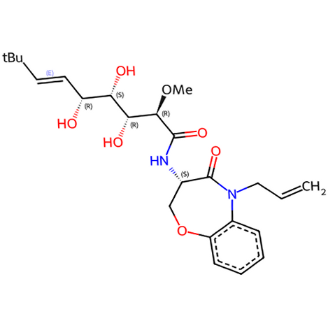 C=CCN1C(=O)[C@@H](NC(=O)[C@H](OC)[C@H](O)[C@@H](O)[C@H](O)/C=C/C(C)(C)C)COc2ccccc21